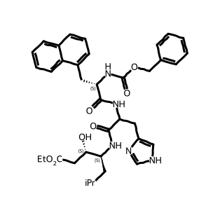 CCOC(=O)C[C@H](O)[C@H](CC(C)C)NC(=O)C(Cc1c[nH]cn1)NC(=O)[C@H](Cc1cccc2ccccc12)NC(=O)OCc1ccccc1